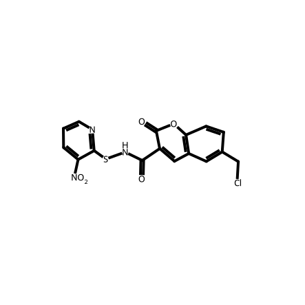 O=C(NSc1ncccc1[N+](=O)[O-])c1cc2cc(CCl)ccc2oc1=O